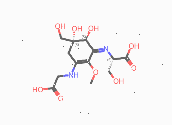 COC1=C(NCC(=O)O)C[C@@](O)(CO)[C@@H](O)C1=N[C@@H](CO)C(=O)O